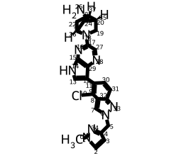 Cn1ccc(Cn2cc3c(Cl)c(-c4c[nH]c5nc(N6C[C@H]7CC[C@@H]6C[C@@H]7N)cnc45)ccc3n2)n1